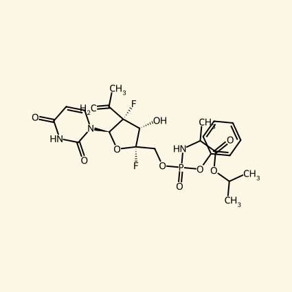 C=C(C)[C@]1(F)[C@H](n2ccc(=O)[nH]c2=O)O[C@](F)(COP(=O)(NC(C)C(=O)OC(C)C)Oc2ccccc2)[C@H]1O